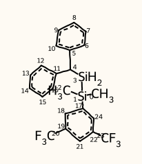 C[Si](C)([SiH2]C(c1ccccc1)c1ccccc1)c1cc(C(F)(F)F)cc(C(F)(F)F)c1